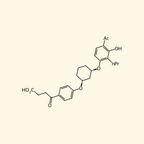 CCCc1c(O[C@@H]2CCC[C@H](Oc3ccc(C(=O)CCC(=O)O)cc3)C2)ccc(C(C)=O)c1O